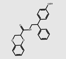 COc1ccc(C(CNC(=O)C2COc3ccccc3O2)c2ccccc2)cc1